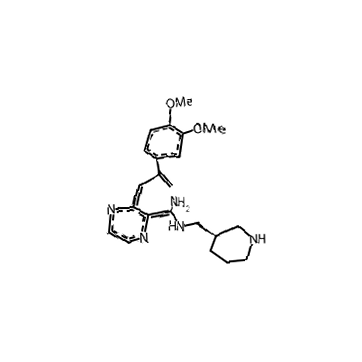 C=C(/C=c1/nccn/c1=C(/N)NC[C@@H]1CCCNC1)c1ccc(OC)c(OC)c1